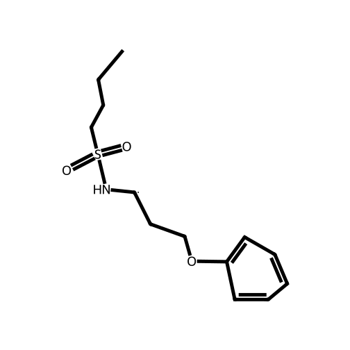 CCCCS(=O)(=O)N[CH]CCOc1ccccc1